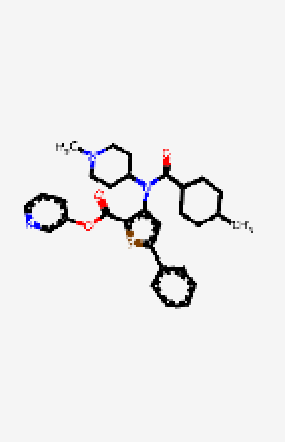 CC1CCC(C(=O)N(c2cc(-c3ccccc3)sc2C(=O)Oc2cccnc2)C2CCN(C)CC2)CC1